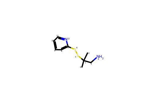 CC(C)(CN)SSc1ccccn1